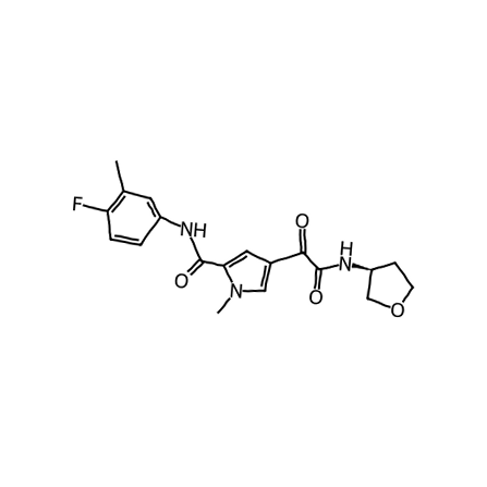 Cc1cc(NC(=O)c2cc(C(=O)C(=O)N[C@H]3CCOC3)cn2C)ccc1F